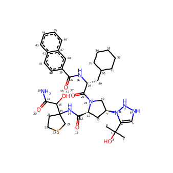 CC(C)(O)C1=CNNN1[C@H]1C[C@@H](C(=O)NC2(C(O)C(N)=O)CCSC2)N(C(=O)[C@@H](CC2CCCCC2)NC(=O)c2ccc3ccccc3c2)C1